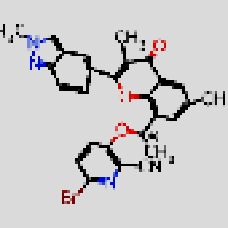 Cc1cc([C@@H](C)Oc2ccc(Br)nc2C#N)c2oc(-c3ccc4nn(C)cc4c3)c(C)c(=O)c2c1